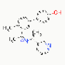 C=C(/N=C(/C)c1cc(-c2ccc(O)cc2)ccc1C)c1cccnc1